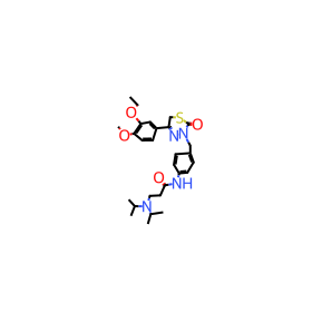 CCOc1cc(C2=NN(Cc3ccc(NC(=O)CCN(C(C)C)C(C)C)cc3)C(=O)SC2)ccc1OC